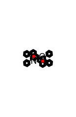 c1ccc(CC(Cc2ccccc2)(C2=NC(c3ccccc3)[C@H](c3ccccc3)O2)C2=N[C@H](c3ccccc3)[C@H](c3ccccc3)O2)cc1